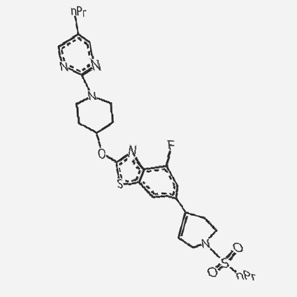 CCCc1cnc(N2CCC(Oc3nc4c(F)cc(C5=CCN(S(=O)(=O)CCC)CC5)cc4s3)CC2)nc1